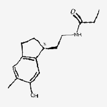 CCC(=O)NCC[C@@H]1CCc2cc(C)c(O)cc21